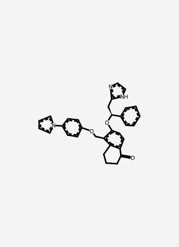 O=C1CCCc2c1ccc(O[C@@H](Cc1ncc[nH]1)c1ccccc1)c2COc1ccc(-n2cccc2)cc1